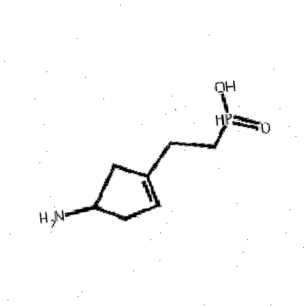 NC1CC=C(CC[PH](=O)O)C1